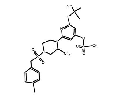 CCCC(C)(C)Oc1cc(OS(=O)(=O)C(F)(F)F)cc(N2CCN(S(=O)(=O)Cc3ccc(C)cc3)CC2C(F)(F)F)n1